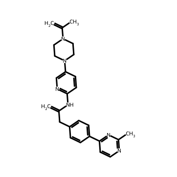 C=C(Cc1ccc(-c2ccnc(C)n2)cc1)Nc1ccc(N2CCN(C(=C)C)CC2)cn1